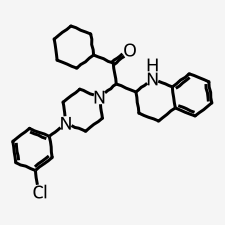 O=C(C1CCCCC1)C(C1CCc2ccccc2N1)N1CCN(c2cccc(Cl)c2)CC1